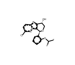 O[C@@H]1CO[C@@H](c2ccccc2OC(F)F)c2c1nc1ccc(Cl)nn21